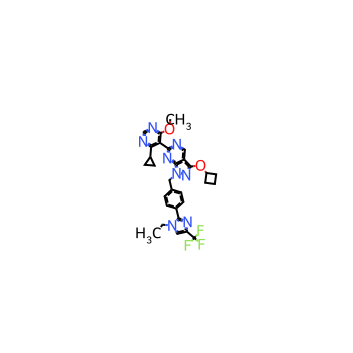 CCn1cc(C(F)(F)F)nc1-c1ccc(Cn2nc(OC3CCC3)c3cnc(-c4c(OC)ncnc4C4CC4)nc32)cc1